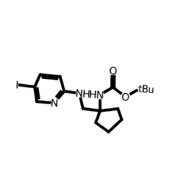 CC(C)(C)OC(=O)NC1(CNc2ccc(I)cn2)CCCC1